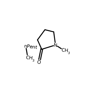 CCCCCC.CN1CCCC1=O